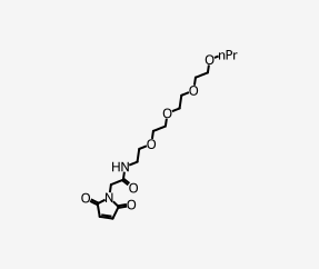 CCCOCCOCCOCCOCCNC(=O)CN1C(=O)C=CC1=O